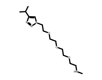 CNCCOCCOCCOCCn1cc(C(C)C)nn1